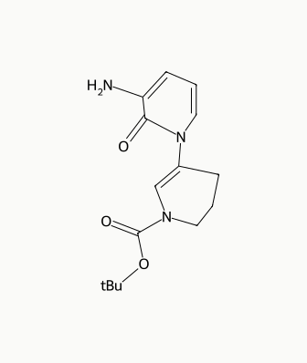 CC(C)(C)OC(=O)N1C=C(n2cccc(N)c2=O)CCC1